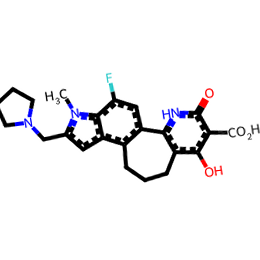 Cn1c(CN2CCCC2)cc2c3c(cc(F)c21)-c1[nH]c(=O)c(C(=O)O)c(O)c1CCC3